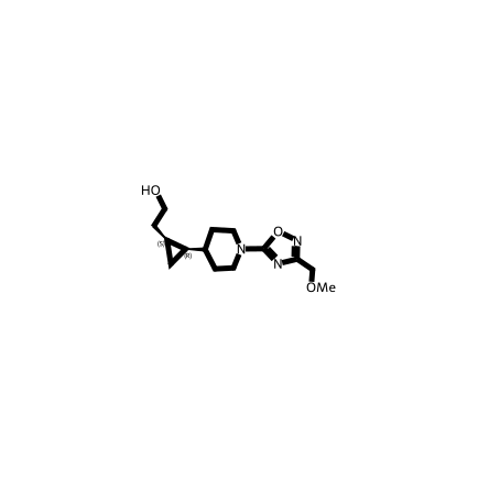 COCc1noc(N2CCC([C@H]3C[C@H]3CCO)CC2)n1